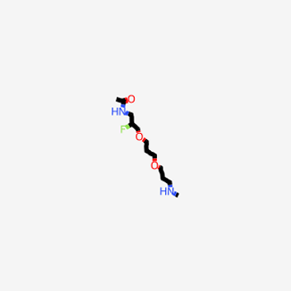 CNCCCOCCCOCC(F)CNC(C)=O